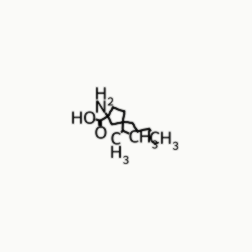 CCCCC1(C(C)C)CCC(N)(C(=O)O)C1